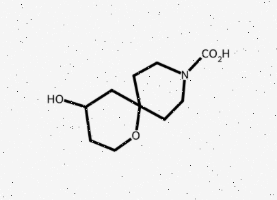 O=C(O)N1CCC2(CC1)CC(O)CCO2